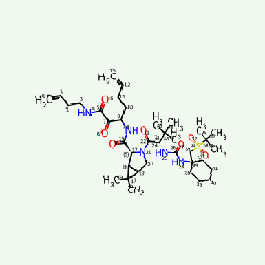 C=CCCNC(=O)C(=O)C(CCC=C)NC(=O)[C@@H]1C2C(CN1C(=O)[C@@H](NC(=O)NC1(CS(=O)(=O)C(C)(C)C)CCCCC1)C(C)(C)C)C2(C)C